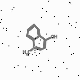 C[n+]1ccc(O)c2ccccc21